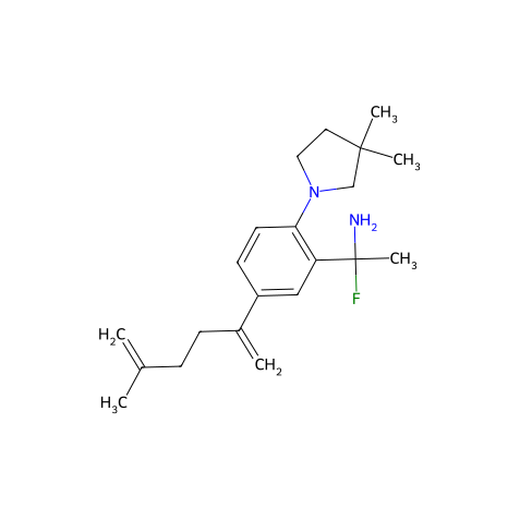 C=C(C)CCC(=C)c1ccc(N2CCC(C)(C)C2)c(C(C)(N)F)c1